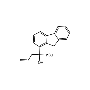 C=CCC(O)(CCCC)c1cccc2c1Cc1ccccc1-2